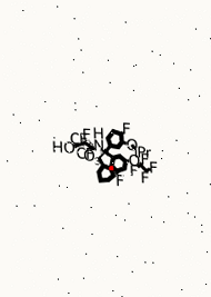 CC(C)Oc1cc([C@@](Cc2ccccc2)(NC(=O)[C@@H](F)C(O)(C(F)(F)F)C(F)(F)F)c2cc(F)cc(OC(F)(F)C(F)F)c2)ccc1F